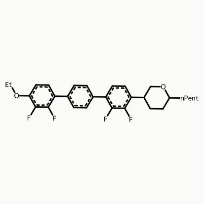 CCCCCC1CCC(c2ccc(-c3ccc(-c4ccc(OCC)c(F)c4F)cc3)c(F)c2F)CO1